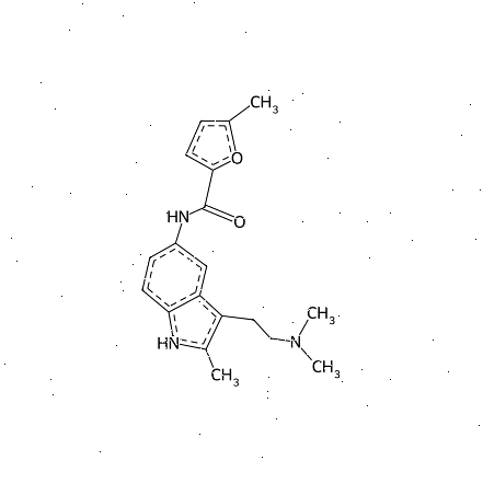 Cc1ccc(C(=O)Nc2ccc3[nH]c(C)c(CCN(C)C)c3c2)o1